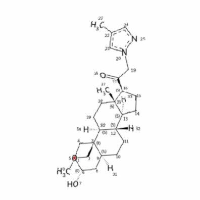 COC[C@]12CC[C@@H](O)C[C@@H]1CC[C@H]1[C@@H]3CC[C@H](C(=O)Cn4cc(C)cn4)[C@@]3(C)CC[C@@H]12